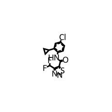 O=C(Nc1ccc(Cl)cc1C1CC1)c1snnc1C(F)F